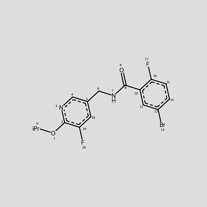 CC(C)Oc1ncc(CNC(=O)c2cc(Br)ccc2F)cc1F